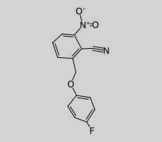 N#Cc1c(COc2ccc(F)cc2)cccc1[N+](=O)[O-]